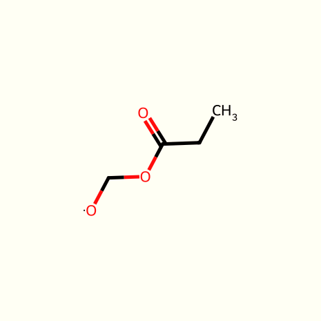 CCC(=O)OC[O]